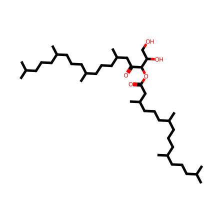 CC(C)CCCC(C)CCCC(C)CCCC(C)CC(=O)OC(C(=O)CC(C)CCCC(C)CCCC(C)CCCC(C)C)C(O)CO